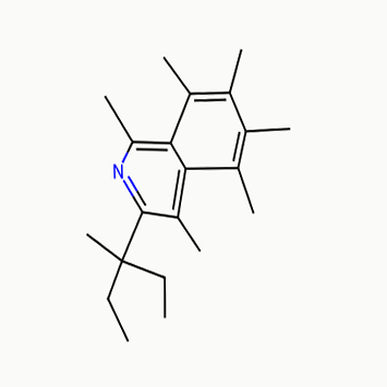 CCC(C)(CC)c1nc(C)c2c(C)c(C)c(C)c(C)c2c1C